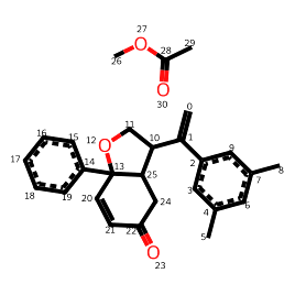 C=C(c1cc(C)cc(C)c1)C1COC2(c3ccccc3)C=CC(=O)CC12.COC(C)=O